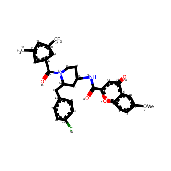 COc1ccc2oc(C(=O)NC3CCN(C(=O)c4cc(C(F)(F)F)cc(C(F)(F)F)c4)C(Cc4ccc(Cl)cc4)C3)cc(=O)c2c1